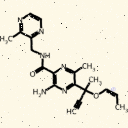 C#CC(C)(O/C=C\C)c1nc(N)c(C(=O)NCc2nccnc2C)nc1C